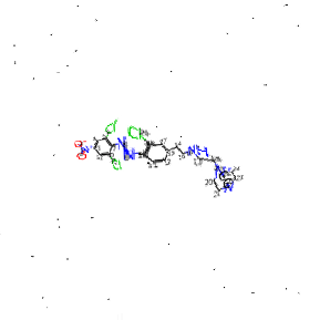 O=[N+]([O-])c1cc(Cl)c(N=Nc2ccc(CCNCC[N+]34CCN(CC3)CC4)cc2Cl)c(Cl)c1